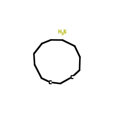 C1CCCCCCCCCCC1.S